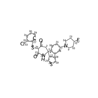 O=C1CC(c2ccc(N3CCC(F)CC3)cc2)(c2ccsc2)NC(=O)C1Sc1ccccc1Cl